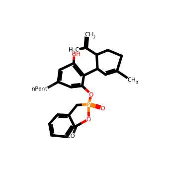 C=C(C)C1CCC(C)=CC1c1c(O)cc(CCCCC)cc1OP(=O)(Cc1ccccc1)OCOC(C)=O